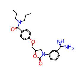 CCCN(CCC)C(=O)c1ccc(OCC2CN(c3cccc(C(=N)N)c3)C(=O)O2)cc1